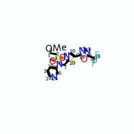 COCCS(=O)(=O)N(Cc1ncc(-c2nnc(C(F)F)o2)s1)c1cccnc1